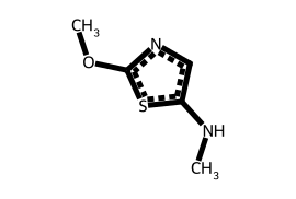 CNc1cnc(OC)s1